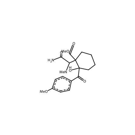 CNC(C(N)=O)C1(C(=O)OC)CCCCC1(O)C(=O)c1ccc(OC)cc1